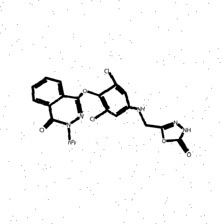 CCCn1nc(Oc2c(Cl)cc(NCc3n[nH]c(=O)o3)cc2Cl)c2ccccc2c1=O